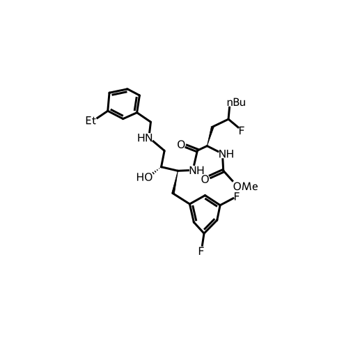 CCCCC(F)C[C@@H](NC(=O)OC)C(=O)N[C@@H](Cc1cc(F)cc(F)c1)[C@H](O)CNCc1cccc(CC)c1